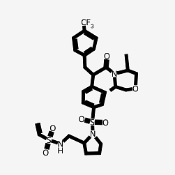 C=CS(=O)(=O)NCC1CCCN1S(=O)(=O)c1ccc(C(Cc2ccc(C(F)(F)F)cc2)C(=O)N2C(C)COCC2C)cc1